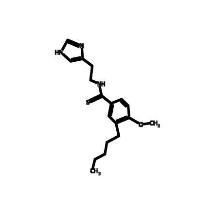 CCCCCc1cc(C(=S)NCCc2c[nH]cn2)ccc1OC